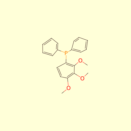 COc1ccc(P(c2ccccc2)c2ccccc2)c(OC)c1OC